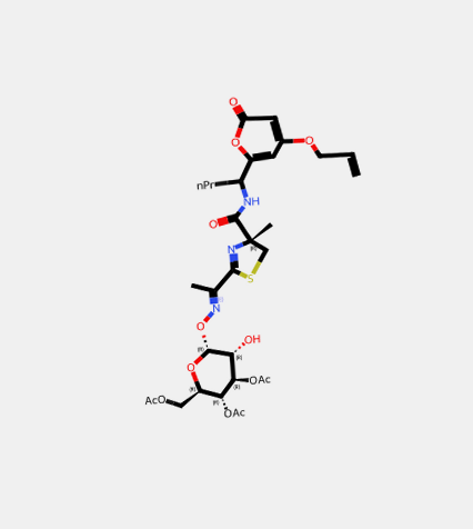 C=CCOc1cc(C(CCC)NC(=O)[C@]2(C)CSC(/C(C)=N/O[C@H]3O[C@H](COC(C)=O)[C@@H](OC(C)=O)[C@H](OC(C)=O)[C@H]3O)=N2)oc(=O)c1